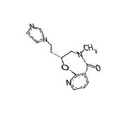 CN1CC(CCn2ccnc2)Oc2ncccc2C1=O